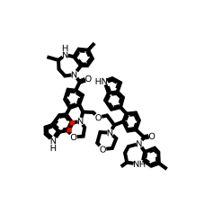 Cc1ccc2c(c1)NC(C)CCN2C(=O)c1ccc(-c2ccc3[nH]ccc3c2)c(C(COCC(c2cc(C(=O)N3CCC(C)Nc4cc(C)ccc43)ccc2-c2ccc3[nH]ccc3c2)N2CCOCC2)N2CCOCC2)c1